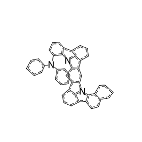 c1ccc(N(c2ccccc2)c2cccc3c4cccc5c6cc7c(cc6n(c23)c54)c2cccc3c4ccc5ccccc5c4n7c23)cc1